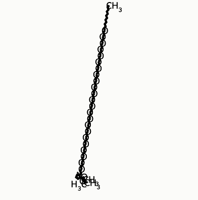 CCCCCCCCCCCCOCCOCCOCCOCCOCCOCCOCCOCCOCCOCCOCCOCCOCCOCCOCCOCCOCCOCCOCCOCCOCCOCCOCCN1CCCC1C(=O)OC(C)(C)C